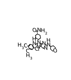 Cc1cc(Cl)c(Nc2nc3cnc(NC4CCOCC4)nc3n2[C@H]2CC[C@H](C(N)=O)CC2)cc1C